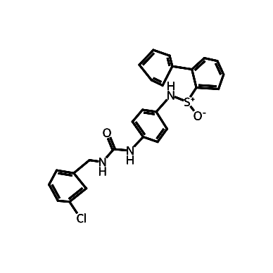 O=C(NCc1cccc(Cl)c1)Nc1ccc(N[S+]([O-])c2ccccc2-c2ccccc2)cc1